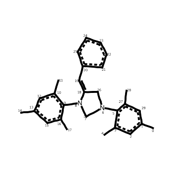 Cc1cc(C)c(N2[C]N(c3c(C)cc(C)cc3C)C(=Cc3ccccc3)C2)c(C)c1